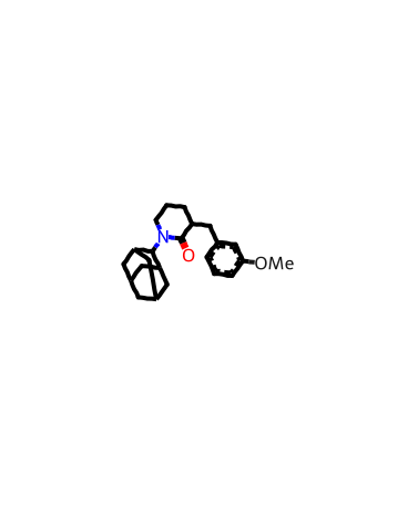 COc1cccc(CC2CCCN(C3C4CC5CC(C4)CC3C5)C2=O)c1